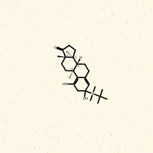 CC(C)(C)[Si](C)(C)C1(O)C=C2CC[C@@H]3[C@H](CC[C@]4(C)C(=O)CC[C@@H]34)C2=C(O)C1